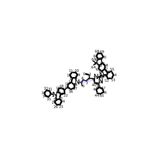 C=C/C(=C\C=C(/C)n1c2ccccc2c2cc(-c3ccc4c(c3)c3ccccc3n4-c3ccccc3)ccc21)c1cc(-c2ccccc2)nc(-n2c3ccccc3c3cc4c(cc32)C(C)(C)c2ccccc2-4)n1